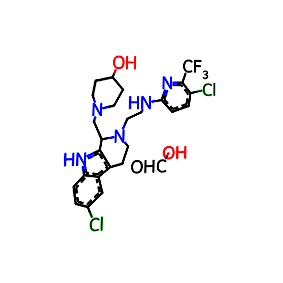 O=CO.OC1CCN(CC2c3[nH]c4ccc(Cl)cc4c3CCN2CCNc2ccc(Cl)c(C(F)(F)F)n2)CC1